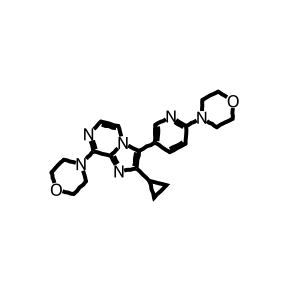 c1cn2c(-c3ccc(N4CCOCC4)nc3)c(C3CC3)nc2c(N2CCOCC2)n1